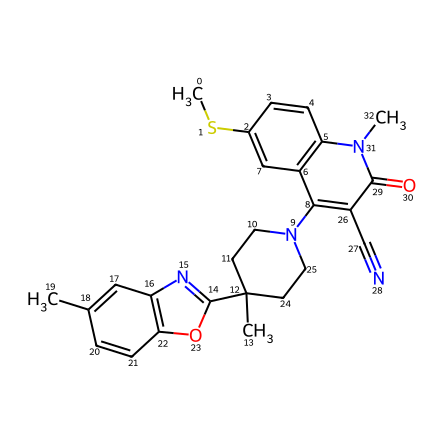 CSc1ccc2c(c1)c(N1CCC(C)(c3nc4cc(C)ccc4o3)CC1)c(C#N)c(=O)n2C